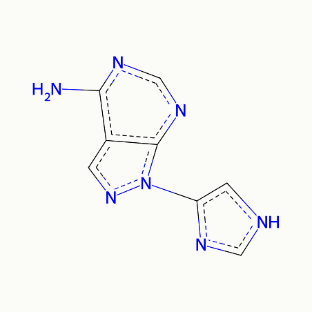 Nc1ncnc2c1cnn2-c1c[nH]cn1